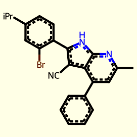 Cc1cc(-c2ccccc2)c2c(C#N)c(-c3ccc(C(C)C)cc3Br)[nH]c2n1